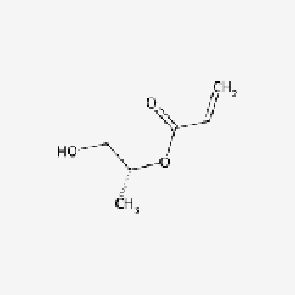 C=CC(=O)O[C@H](C)CO